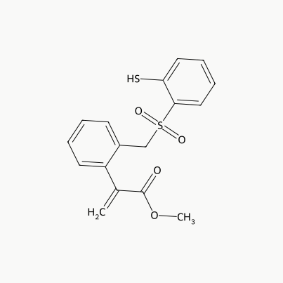 C=C(C(=O)OC)c1ccccc1CS(=O)(=O)c1ccccc1S